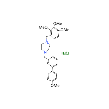 COc1ccc(-c2cccc(CN3CCN(Cc4ccc(OC)c(OC)c4OC)CC3)c2)cc1.Cl.Cl